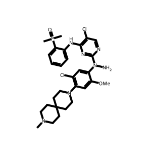 COc1cc(N2CCC3(CCN(C)CC3)CC2)c(Cl)cc1N(N)c1ncc(Cl)c(Nc2ccccc2P(C)(C)=O)n1